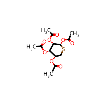 CC(=O)O[C@@H]1[C@@H](OC(C)=O)[C@@H](OC(C)=O)SC[C@H]1OC(C)=O